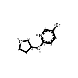 Brc1ccc(OC2CCOC2)nc1